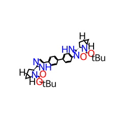 CC(C)(C)OC(=O)N1[C@@H]2C[C@@H]2C[C@H]1c1ncc(-c2ccc(-c3ccc4nc([C@@H]5C[C@H]6C[C@H]6N5C(=O)OC(C)(C)C)[nH]c4c3)cc2)[nH]1